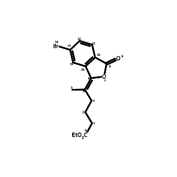 CCOC(=O)CCC/C(C)=C1\OC(=O)c2ccc(Br)cc21